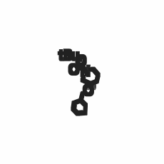 CC(C)(C)OC(=O)N1CCC[C@@H](OCC2C=CC=CC2)C1